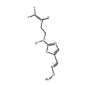 CC(C)O/N=C/c1cnc([S+]([O-])CCC(F)=C(F)F)s1